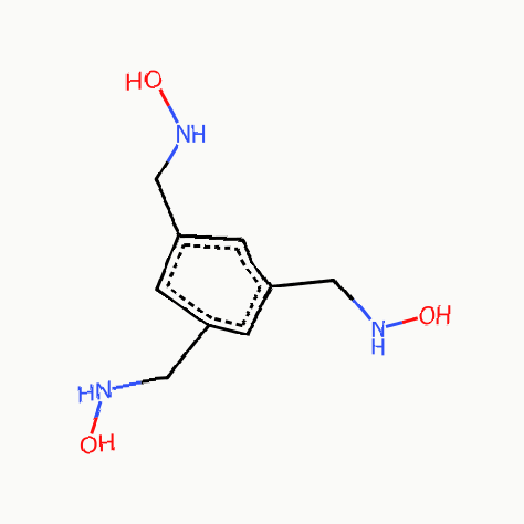 ONCc1cc(CNO)cc(CNO)c1